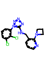 Clc1cccc(-n2nnnc2NCc2cccnc2N2CCC2)c1Cl